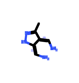 Cc1n[nH]c(=C/N)/c1=C\N